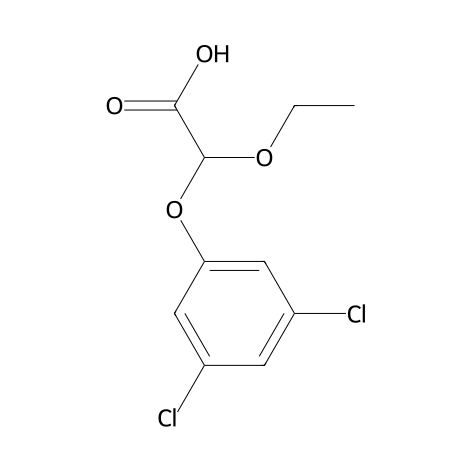 CCOC(Oc1cc(Cl)cc(Cl)c1)C(=O)O